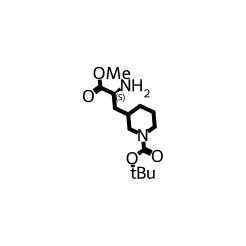 COC(=O)[C@@H](N)CC1CCCN(C(=O)OC(C)(C)C)C1